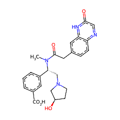 CN(C(=O)Cc1ccc2ncc(=O)[nH]c2c1)[C@H](CN1CC[C@@H](O)C1)c1cccc(C(=O)O)c1